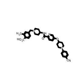 Cc1cc(CN2CCC(NC(=O)c3ccc(OC4CCN(c5ccc(C#N)cc5)CC4)cn3)CC2)ccc1C(=O)O